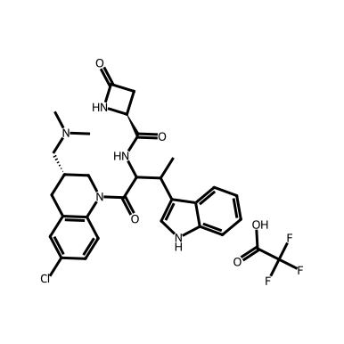 CC(c1c[nH]c2ccccc12)C(NC(=O)[C@@H]1CC(=O)N1)C(=O)N1C[C@@H](CN(C)C)Cc2cc(Cl)ccc21.O=C(O)C(F)(F)F